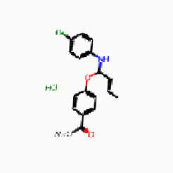 CC=CC(Nc1ccc(Cl)cc1)Oc1ccc(C(=O)OC)cc1.Cl